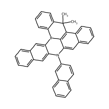 CC1(C)c2ccccc2B2c3cc4ccccc4cc3N(c3ccc4ccccc4c3)c3cc4ccccc4c1c32